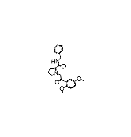 COc1ccc(OC)c(C(=O)CN2CCC[C@H]2C(=O)NCc2ccccc2)c1